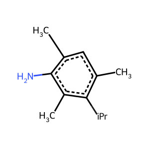 Cc1cc(C)c(C(C)C)c(C)c1N